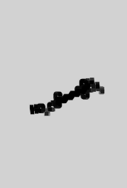 CC(O)C(=O)OCCCCCC(=O)OCC(=O)O